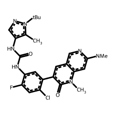 CNc1cc2c(cn1)cc(-c1cc(NC(=O)Nc3cnn(C(C)(C)C)c3C)c(F)cc1Cl)c(=O)n2C